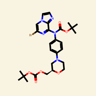 CC(C)(C)OC(=O)OC[C@H]1CN(c2ccc(N(C(=O)OC(C)(C)C)c3nc(Br)cn4ccnc34)cc2)CCO1